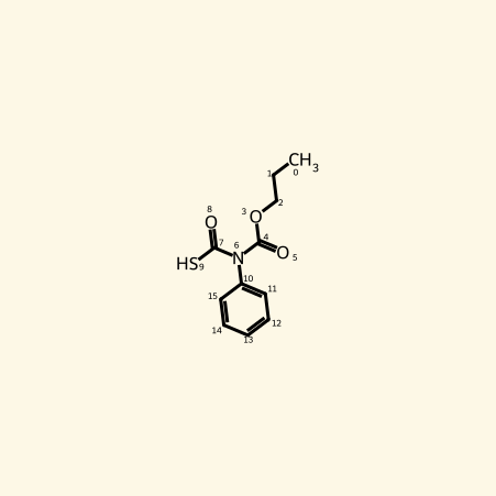 CCCOC(=O)N(C(=O)S)c1ccccc1